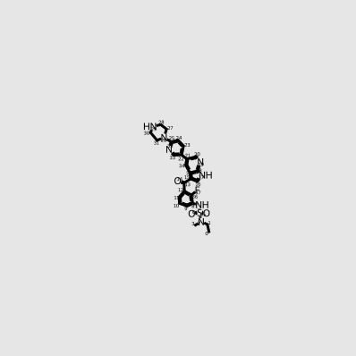 CCN(C)S(=O)(=O)Nc1cccc(C(=O)c2c[nH]c3ncc(-c4ccc(N5CCNCC5)nc4)cc23)c1F